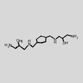 NCC(O)CNCC1CCC(CNCC(O)CN)CC1